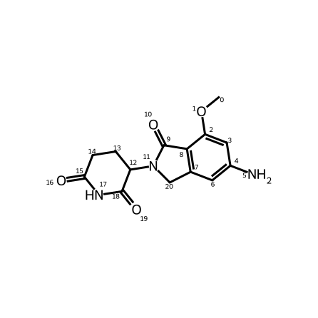 COc1cc(N)cc2c1C(=O)N(C1CCC(=O)NC1=O)C2